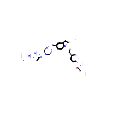 C=CC(=O)Nc1ccc(CCn2c(C#N)cc3c(C)c(CN4CCC(NC(=C/C)/N=C\N=C)CC4)ccc32)cn1